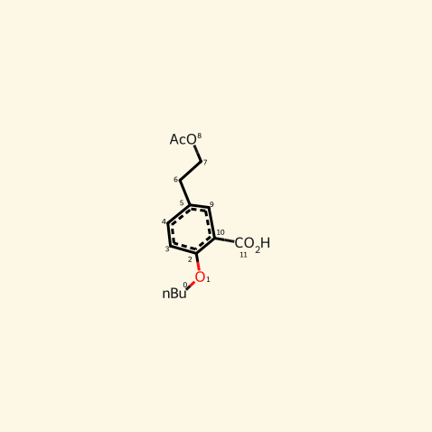 CCCCOc1ccc(CCOC(C)=O)cc1C(=O)O